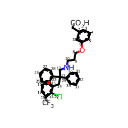 O=C(O)Cc1cccc(OCCCNCC(Cc2cccc(C(F)(F)F)c2Cl)(c2ccccc2)c2ccccc2)c1